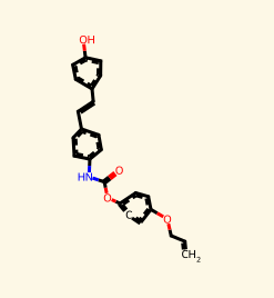 C=CCOc1ccc(OC(=O)Nc2ccc(C=Cc3ccc(O)cc3)cc2)cc1